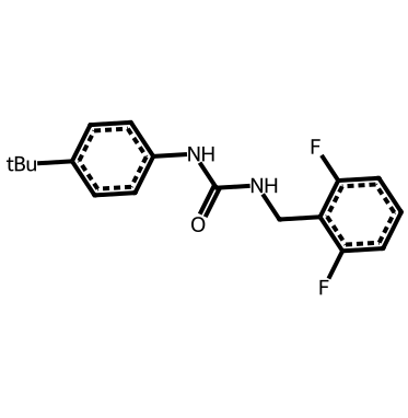 CC(C)(C)c1ccc(NC(=O)NCc2c(F)cccc2F)cc1